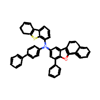 C1=Cc2c(sc3c(N(c4ccc(-c5ccccc5)cc4)c4cc(-c5ccccc5)c5oc6c7ccccc7ccc6c5c4)cccc23)CC1